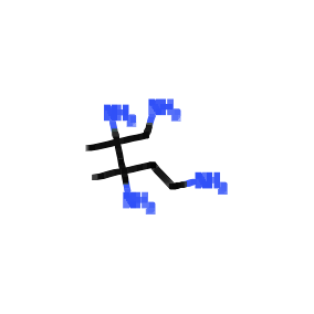 CC(N)(CN)C(C)(N)CCN